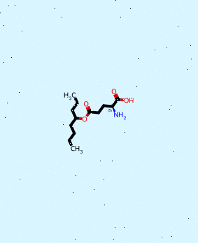 CCCCC(CCC)OC(=O)CC[C@H](N)C(=O)O